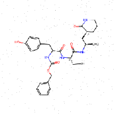 CC(C)C[C@H](NC(=O)C(Cc1ccc(O)cc1)NC(=O)OCc1ccccc1)C(=O)N[C@H](C=O)C[C@@H]1CCCNC1=O